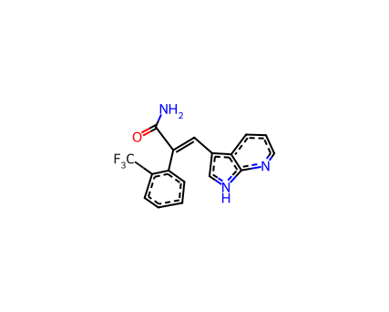 NC(=O)/C(=C/c1c[nH]c2ncccc12)c1ccccc1C(F)(F)F